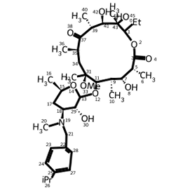 CCC1OC(=O)[C@H](C)[C@H](O)[C@H](C)[C@@H](OC2O[C@H](C)C[C@H](N(C)Cc3ccc(C(C)C)cc3)[C@H]2O)[C@@](C)(OC)C[C@@H](C)C(=O)[C@H](C)[C@@H](O)[C@]1(C)O